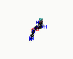 Cn1cnc(-c2ccc(C3=CCN(C(=O)CN4CCC5(CCN(c6ccc7[nH]nc(-c8ccc(OC(F)(F)F)c(C#N)c8)c7c6)C5=O)C4)CC3)cc2)n1